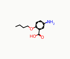 CCCCOc1ccc(N)cc1C(=O)O